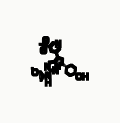 COC[C@H](C)Nc1ncc2c(-c3cncc(S(C)(=O)=O)c3)cc([C@H]3CC[C@H](O)CC3)n2n1